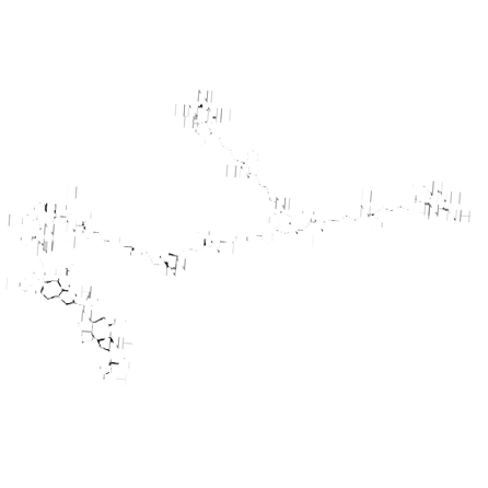 COC(=O)c1cc2c([nH]1)C(=O)C=C1N(C(=O)c3cc4cc(OC)c(OCCNC(=O)[C@@H](NC(=O)[C@H](C)NC(=O)OCCOCCOCCn5cc(CCC(=O)NCCOCCOCCN(CC(=O)NCCCCNC(=O)CCCC[C@@H]6SC[C@@H]7NC(=N)N[C@@H]76)CC(=O)NCCCCNC(=O)CCCC[C@@H]6SC[C@@H]7NC(=N)N[C@@H]76)nn5)C(C)C)c(OC)c4[nH]3)CC3CCC123